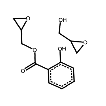 O=C(OCC1CO1)c1ccccc1O.OCC1CO1